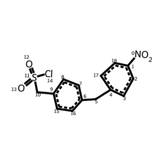 O=[N+]([O-])c1ccc(Cc2ccc(CS(=O)(=O)Cl)cc2)cc1